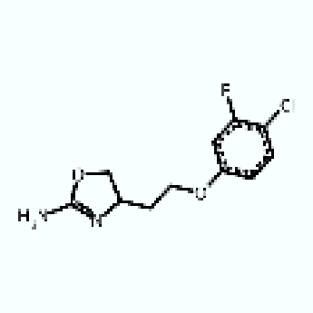 NC1=NC(CCOc2ccc(Cl)c(F)c2)CO1